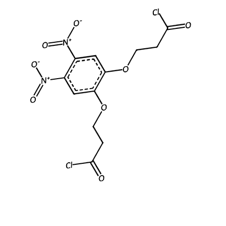 O=C(Cl)CCOc1cc([N+](=O)[O-])c([N+](=O)[O-])cc1OCCC(=O)Cl